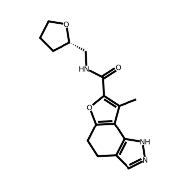 Cc1c(C(=O)NC[C@@H]2CCCO2)oc2c1-c1[nH]ncc1CC2